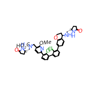 COc1nc(-c2cccc(-c3cccc(-c4ccc5c(c4)OCCC5NC[C@@H]4CCC(=O)N4)c3Cl)c2Cl)ccc1CN(C[C@@H]1CCC(=O)N1)C(=O)O